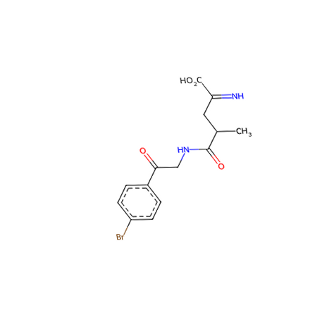 CC(CC(=N)C(=O)O)C(=O)NCC(=O)c1ccc(Br)cc1